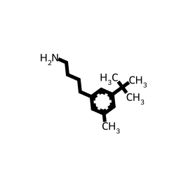 Cc1cc(CCCCN)cc(C(C)(C)C)c1